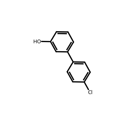 Oc1cccc(-c2ccc(Cl)cc2)c1